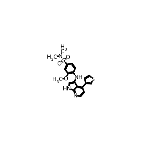 COc1cc(S(=O)(=O)N(C)C)ccc1Nc1c[nH]c2nccc(-c3ccsc3)c12